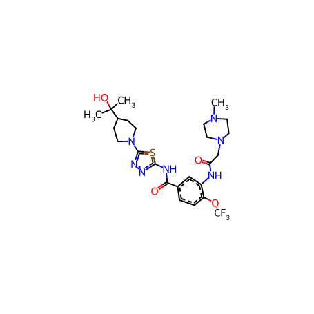 CN1CCN(CC(=O)Nc2cc(C(=O)Nc3nnc(N4CCC(C(C)(C)O)CC4)s3)ccc2OC(F)(F)F)CC1